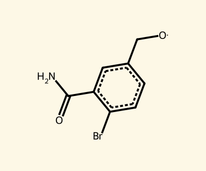 NC(=O)c1cc(C[O])ccc1Br